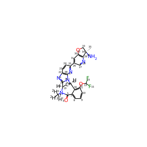 [2H]C([2H])([2H])N1C(=O)c2cccc(OC(F)F)c2[C@H]2C[C@@H]1c1nc3ccc(-c4cnc5c(c4)OC[C@@]5(C)N)nc3n12